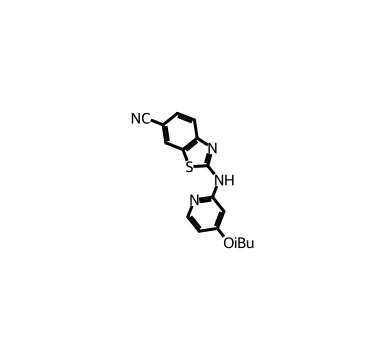 CC(C)COc1ccnc(Nc2nc3ccc(C#N)cc3s2)c1